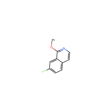 CC(C)Oc1nccc2ccc(F)cc12